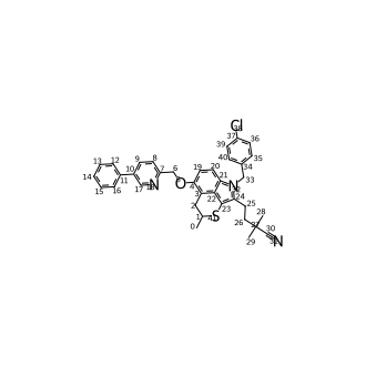 CC1Cc2c(OCc3ccc(-c4ccccc4)cn3)ccc3c2c(c(CCC(C)(C)C#N)n3Cc2ccc(Cl)cc2)S1